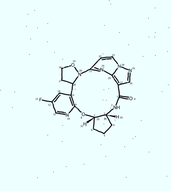 O=C1N[C@@H]2CCC[C@@H]2Oc2ncc(F)cc2C2CCON2c2ccn3ncc1c3n2